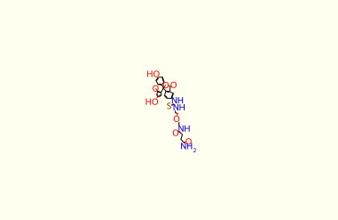 NC(=O)CCC(=O)NCCOCCNC(=S)Nc1ccc2c(c1)C(=O)OC21c2ccc(O)cc2Oc2cc(O)ccc21